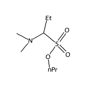 CCCOS(=O)(=O)C(CC)N(C)C